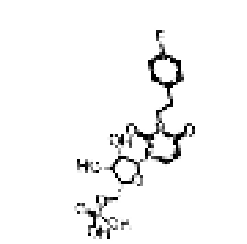 O=c1ccn([C@@H]2O[C@H](COP(=O)(O)O)[C@H](O)[C@@H]2O)c(=O)n1CCc1ccc(F)cc1